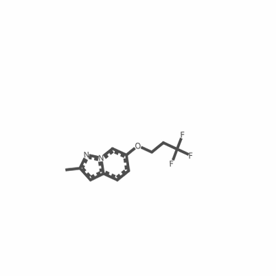 Cc1cc2ccc(OCCC(F)(F)F)cn2n1